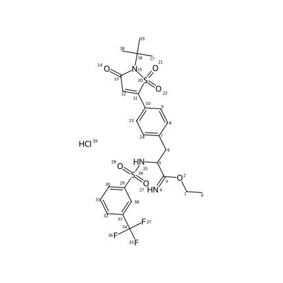 CCOC(=N)C(Cc1ccc(C2=CC(=O)N(C(C)(C)C)S2(=O)=O)cc1)NS(=O)(=O)c1cccc(C(F)(F)F)c1.Cl